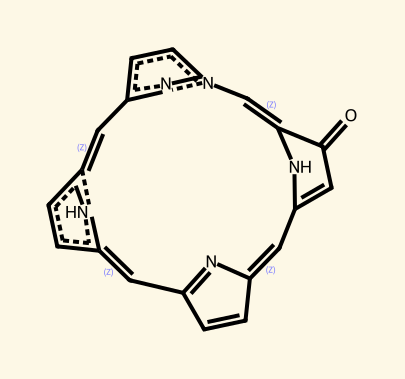 O=C1C=C2/C=C3/C=CC(=N3)/C=c3/cc/c([nH]3)=C/c3ccn(n3)/C=C/1N2